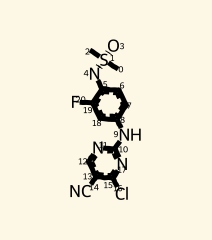 CS(C)(=O)=Nc1ccc(Nc2ncc(C#N)c(Cl)n2)cc1F